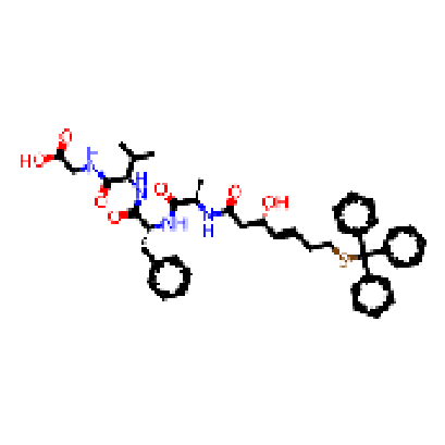 CC(C)[C@@H](NC(=O)[C@@H](Cc1ccccc1)NC(=O)[C@@H](C)NC(=O)C[C@H](O)/C=C/CCSC(c1ccccc1)(c1ccccc1)c1ccccc1)C(=O)NCC(=O)O